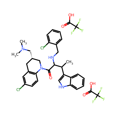 CC(c1c[nH]c2ccccc12)C(NCc1ccccc1Cl)C(=O)N1C[C@@H](CN(C)C)Cc2cc(Cl)ccc21.O=C(O)C(F)(F)F.O=C(O)C(F)(F)F